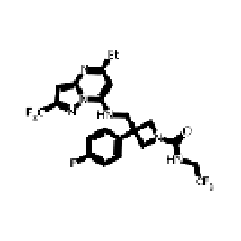 CCc1cc(NCC2(c3ccc(F)cc3)CN(C(=O)NCC(F)(F)F)C2)n2nc(C(F)(F)F)cc2n1